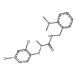 CC(Oc1ccc(Cl)cc1Cl)C(=O)NCc1ccccc1N(C)C